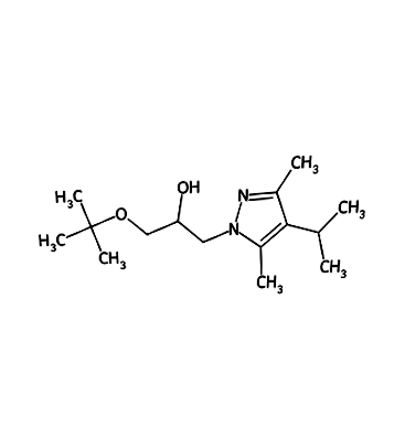 Cc1nn(CC(O)COC(C)(C)C)c(C)c1C(C)C